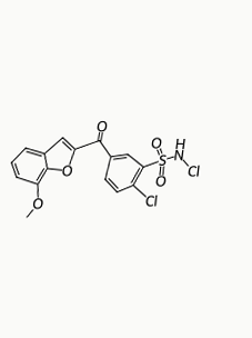 COc1cccc2cc(C(=O)c3ccc(Cl)c(S(=O)(=O)NCl)c3)oc12